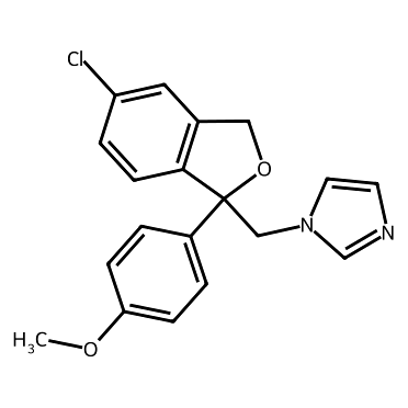 COc1ccc(C2(Cn3ccnc3)OCc3cc(Cl)ccc32)cc1